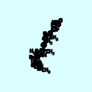 CCc1cc(Nc2ncc(Br)c(Nc3ccc4nc(C)ncc4c3P(C)(C)=O)n2)c(OC)cc1N1CCC(N2CCN(C(=O)[C@H]3CN(c4cc(F)c([C@H]5CCC(=O)NC5=O)c(F)c4)CC3(C)C)CC2)CC1